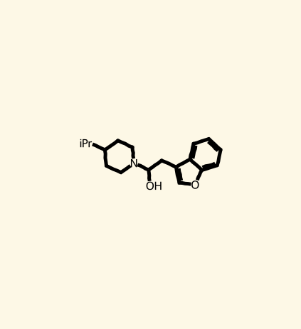 CC(C)C1CCN(C(O)Cc2coc3ccccc23)CC1